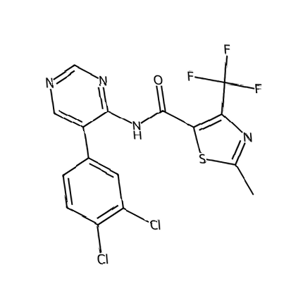 Cc1nc(C(F)(F)F)c(C(=O)Nc2ncncc2-c2ccc(Cl)c(Cl)c2)s1